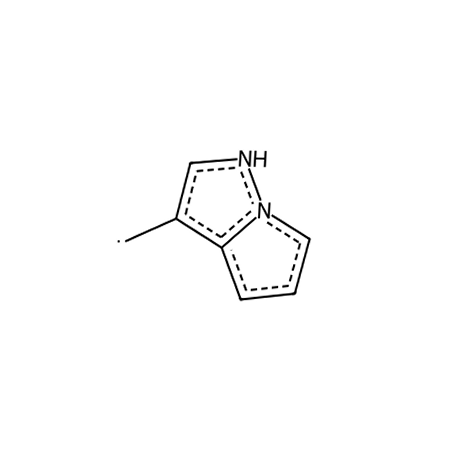 [CH2]c1c[nH]n2cccc12